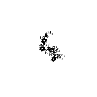 CCC(=O)Nc1ccc(C(=O)Nc2cccc(Nc3n[nH]c4c3CN(C(=O)N[C@H](CN(C)C)c3ccccc3)C4(C)C)c2)cc1